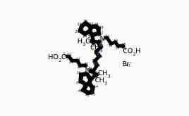 CC1(C)C(/C=C/C=C/C=C2/N(CCCCCC(=O)O)c3ccc4ccccc4c3C2(C)C)=[N+](CCCCCC(=O)O)c2ccc3ccccc3c21.[Br-]